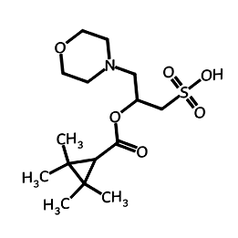 CC1(C)C(C(=O)OC(CN2CCOCC2)CS(=O)(=O)O)C1(C)C